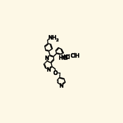 Cl.Cl.Cl.NCc1ccc(-c2nc3ccnc(COCc4ccncc4)c3cc2-c2ccccc2)cc1